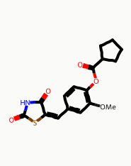 COc1cc(C=C2SC(=O)NC2=O)ccc1OC(=O)C1CCCC1